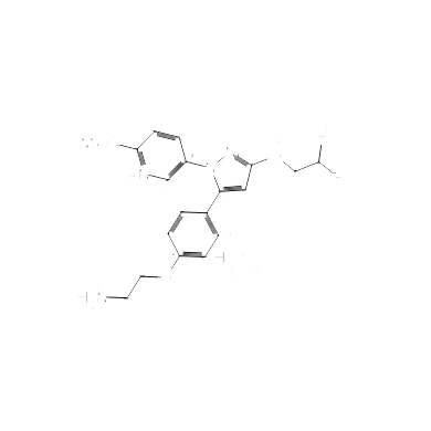 COc1ccc(-n2nc(OCC(F)F)cc2-c2ccc(OCCN)cc2)cn1.Cl.Cl